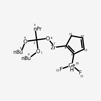 CCCCOC(CCC)(OCCCC)[O][Zr][C]1=[C]([GeH]([F])[F])C=CC1